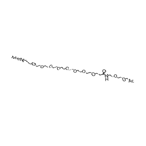 CNCCOCCOCCOCCOCCOCCOCCOCCOCCC(=O)NCCOCCOCC(C)=O